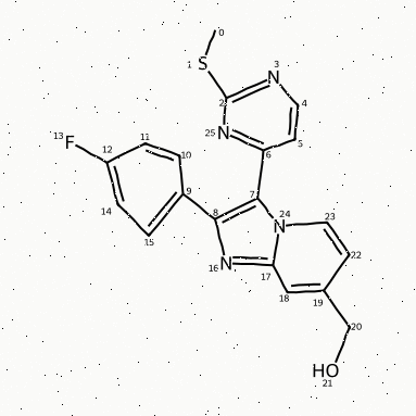 CSc1nccc(-c2c(-c3ccc(F)cc3)nc3cc(CO)ccn23)n1